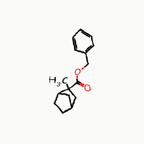 CC1(C(=O)OCc2ccccc2)CC2CCC1C2